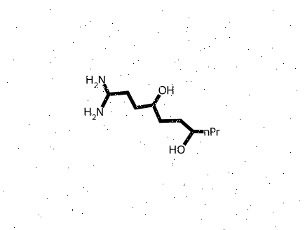 CCCC(O)CCC(O)CCC(N)N